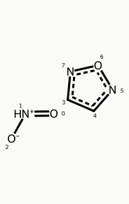 O=[NH+][O-].c1cnon1